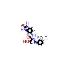 C/C(O)=C(\N=Nc1ccccc1C(=O)O)C(=O)Nc1ccc2[nH]c(=O)[nH]c2c1